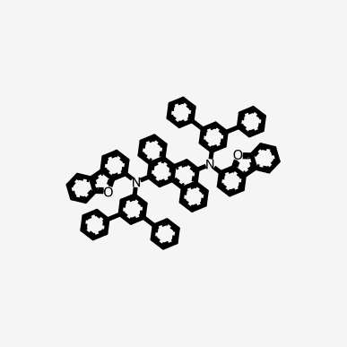 c1ccc(-c2cc(-c3ccccc3)cc(N(c3cc4c5ccccc5c(N(c5cc(-c6ccccc6)cc(-c6ccccc6)c5)c5cccc6c5oc5ccccc56)cc4c4ccccc34)c3cccc4c3oc3ccccc34)c2)cc1